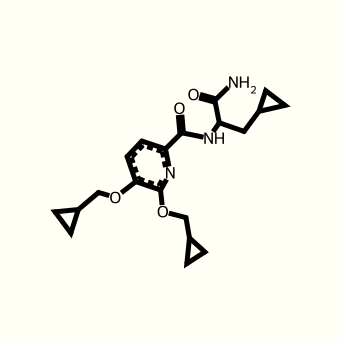 NC(=O)C(CC1CC1)NC(=O)c1ccc(OCC2CC2)c(OCC2CC2)n1